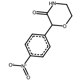 O=C1NCCOC1c1ccc([N+](=O)[O-])cc1